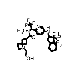 CN(C(=O)C1CC2(CCN2CCO)C1)C(c1ccc(NC2Cc3ccccc3C2(C)C)cn1)C(F)(F)F